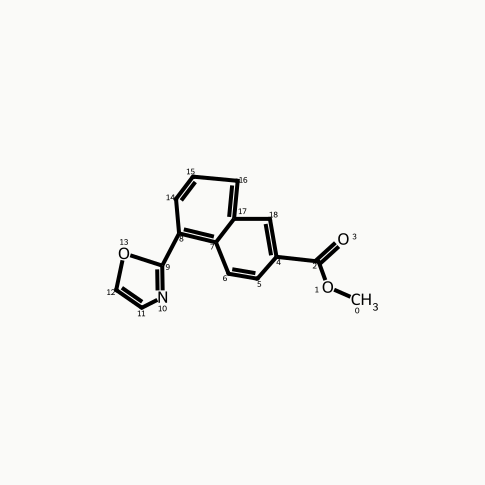 COC(=O)c1ccc2c(-c3ncco3)cccc2c1